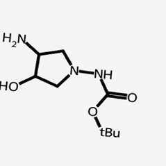 CC(C)(C)OC(=O)NN1CC(N)C(O)C1